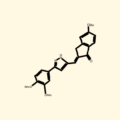 COc1ccc2c(c1)CC(=Cc1cc(-c3ccc(OC)c(OC)c3)n[nH]1)C2=O